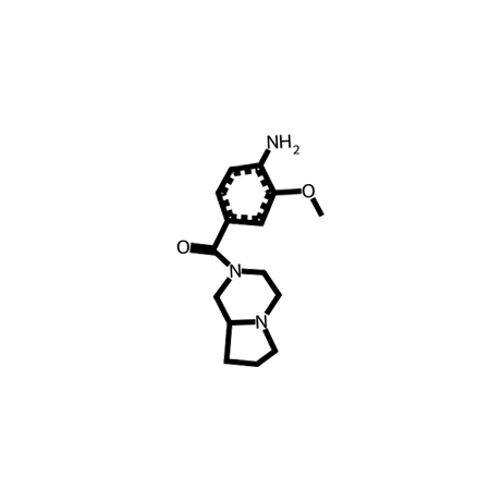 COc1cc(C(=O)N2CCN3CCCC3C2)ccc1N